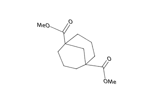 COC(=O)C12CCCC(C(=O)OC)(CCC1)C2